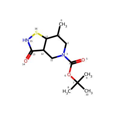 CC1CN(C(=O)OC(C)(C)C)CC2C(=O)NSC12